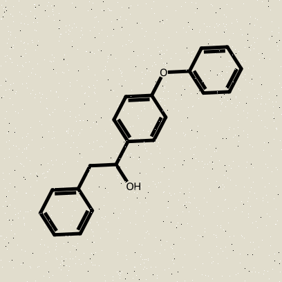 OC(Cc1ccccc1)c1ccc(Oc2ccccc2)cc1